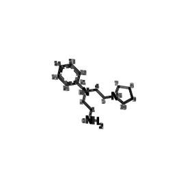 NCCN(CCN1CCCC1)c1ccccc1